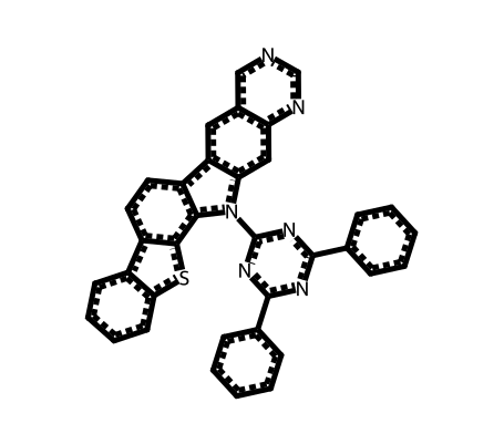 c1ccc(-c2nc(-c3ccccc3)nc(-n3c4cc5ncncc5cc4c4ccc5c6ccccc6sc5c43)n2)cc1